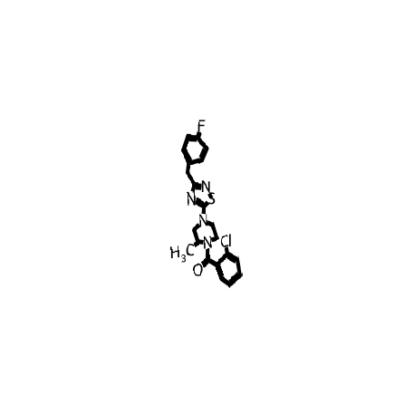 CC1CN(c2nc(Cc3ccc(F)cc3)ns2)CCN1C(=O)c1ccccc1Cl